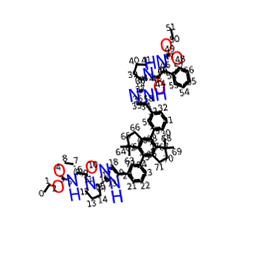 CCOC(=O)N[C@H](CC)C(=O)N1CCC[C@H]1c1ncc(-c2cccc(-c3c4c(c(-c5cccc(-c6cnc([C@@H]7CCCN7C(=O)[C@H](NC(=O)OCC)c7ccccc7)[nH]6)c5)c5c3C(C)(C)CC5)C(C)(C)CC4)c2)[nH]1